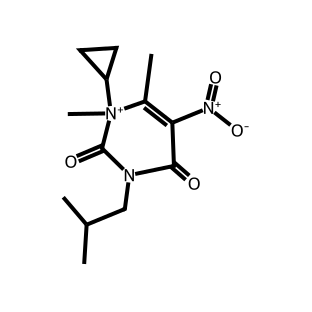 CC1=C([N+](=O)[O-])C(=O)N(CC(C)C)C(=O)[N+]1(C)C1CC1